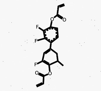 C=CC(=O)OC1=C(F)C=C(c2ccc(OC(=O)C=C)c(F)c2F)CC1C